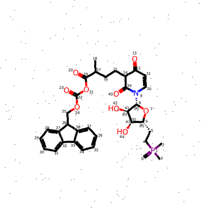 C=P(C)(C)CC[C@H]1O[C@@H](N2C=CC(=O)C(CCC(C)C(=O)OC(=O)OCC3c4ccccc4-c4ccccc43)C2=O)[C@H](O)[C@@H]1O